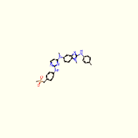 Cc1ccc(Nc2nc3cc(N(C)c4ccnc(Nc5ccc(CS(C)(=O)=O)cc5)n4)ccc3n2C)cc1